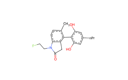 CCCc1cc(O)c(-c2c(C)ccc3c2CC(=O)N3CCF)c(O)c1